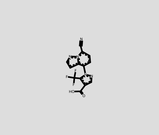 N#Cc1ccc(-n2ncc(C(=O)O)c2C(F)(F)F)c2ccnn12